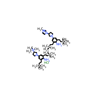 C[N+](C)(C)C1CCN(c2cc(CC[Si](C)(C)C)c(N)c(CC[Si](C)(C)C)c2)C1.C[n+]1ccn(C2CCN(c3cc(CC[Si](C)(C)C)c(N)c(CC[Si](C)(C)C)c3)C2)c1.Cl